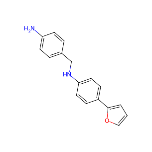 Nc1ccc(CNc2ccc(-c3ccco3)cc2)cc1